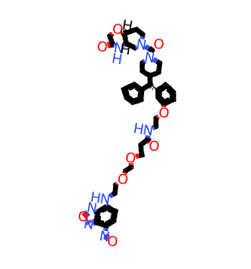 O=Nc1ccc(NCCOCCOCCC(=O)NCCOc2cccc([C@H](c3ccccc3)C3CCN(C(=O)N4CC[C@@H]5OCC(=O)N[C@@H]5C4)CC3)c2)c2nonc12